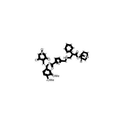 COc1ccc([C@H](Cc2c(Cl)c[n+]([O-])cc2Cl)OC(=O)c2ccc(CNCC(C(=O)O[C@H]3CN4CCC3CC4)c3ccccc3)s2)cc1OC